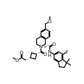 COCc1ccc2c(c1)CCN(C(=O)[C@H]1C[C@@H](CC(=O)OC)C1)[C@H]2C(=O)Nc1cc(F)c2c(c1)CCC2(C)C